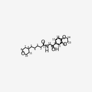 O=C(CCCCC1CCOCC1)NC[C@H](O)c1ccc2c(c1)OCCO2